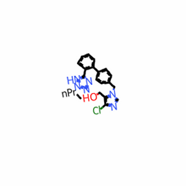 CCCC.OCc1c(Cl)ncn1Cc1ccc(-c2ccccc2-c2nnn[nH]2)cc1